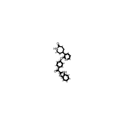 O=C1CCC(c2cccnc2Oc2ccc(C(=O)c3nc4ccccc4[nH]3)cc2)CCN1